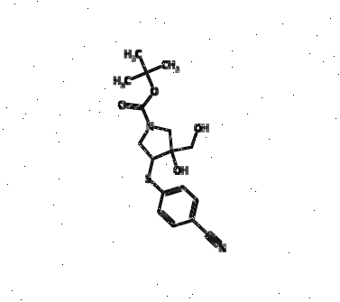 CC(C)(C)OC(=O)N1CC(Sc2ccc(C#N)cc2)C(O)(CO)C1